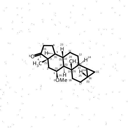 CO[C@H]1C[C@]2(C)C(=O)CC[C@H]2[C@@H]2CC[C@H]3C4C[C@@H]4CC[C@]3(C)[C@H]21